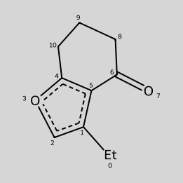 CCc1coc2c1C(=O)CCC2